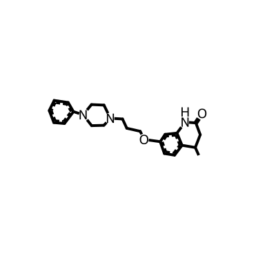 CC1CC(=O)Nc2cc(OCCCN3CCN(c4ccccc4)CC3)ccc21